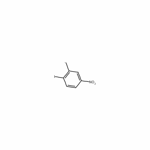 [CH2]c1cc([N+](=O)[O-])ccc1I